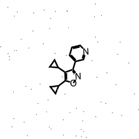 c1cncc(-c2noc(C3CC3)c2C2CC2)c1